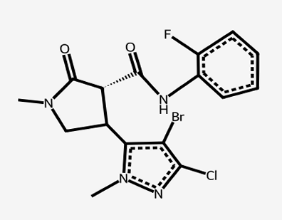 CN1CC(c2c(Br)c(Cl)nn2C)[C@@H](C(=O)Nc2ccccc2F)C1=O